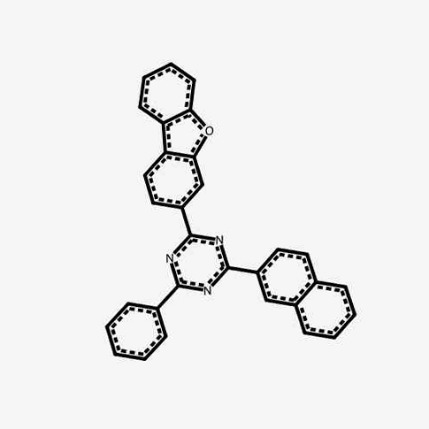 c1ccc(-c2nc(-c3ccc4ccccc4c3)nc(-c3ccc4c(c3)oc3ccccc34)n2)cc1